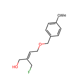 COc1ccc(COC/C=C(/CO)CF)cc1